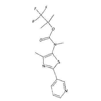 Cc1nc(-c2cccnc2)sc1N(C)C(=O)OC(C)(C)C(F)(F)F